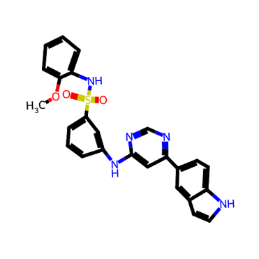 COc1ccccc1NS(=O)(=O)c1cccc(Nc2cc(-c3ccc4[nH]ccc4c3)ncn2)c1